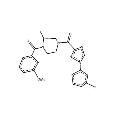 COc1cccc(C(=O)N2CCN(C(=O)c3ncn(-c4cccc(F)c4)n3)CC2C)n1